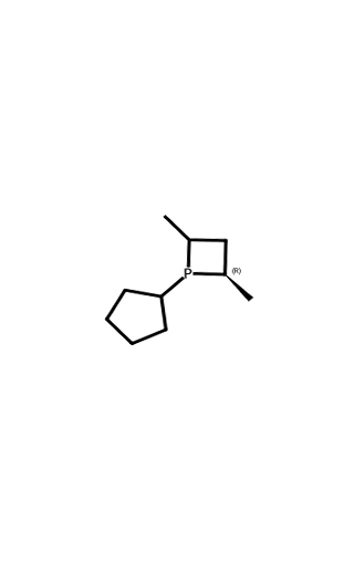 CC1C[C@@H](C)P1C1CCCC1